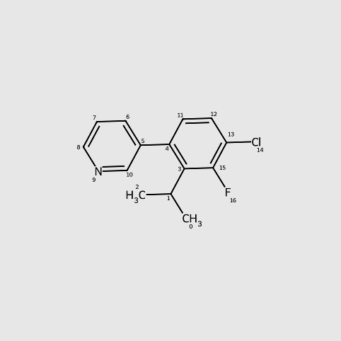 CC(C)c1c(-c2cccnc2)ccc(Cl)c1F